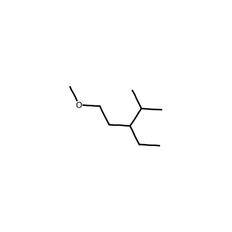 CCC(CCOC)C(C)C